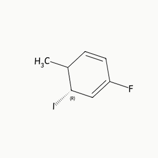 CC1C=CC(F)=C[C@@H]1I